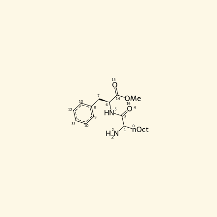 CCCCCCCCC(N)C(=O)N[C@@H](Cc1ccccc1)C(=O)OC